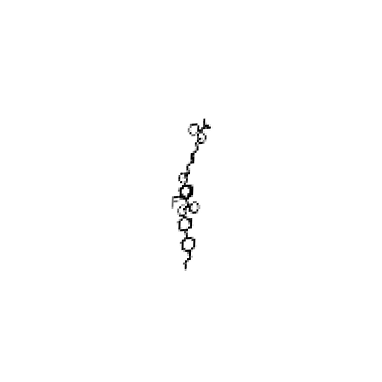 C=C(C)C(=O)OCCCCCCOc1ccc(C(=O)OC2CCC(C3CCC(CCC)CC3)CC2)c(F)c1